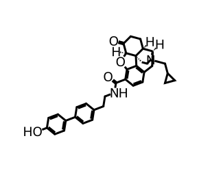 O=C(NCCc1ccc(-c2ccc(O)cc2)cc1)c1ccc2c3c1O[C@H]1C(=O)CC[C@H]4[C@@H](C2)N(CC2CC2)CC[C@]314